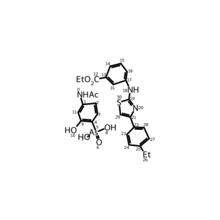 CC(=O)Nc1ccc([As](=O)(O)O)c(O)c1.CCOC(=O)c1cccc(Nc2nc(-c3ccc(CC)cc3)cs2)c1